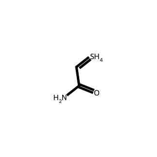 NC(=O)C=[SH4]